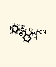 N#CCNC(=O)C1CCCCC1CS(=O)(=O)c1ccncc1